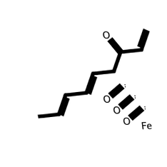 C=CC(=O)CC=CC=CC.[C]=O.[C]=O.[C]=O.[Fe]